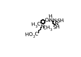 Cc1ccc(OCNc2cc(S)nc(S)n2)cc1N(C)CCCCC(=O)O